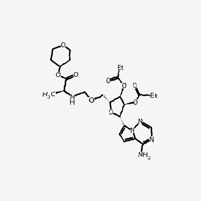 CCC(=O)O[C@@H]1[C@H](OC(=O)CC)[C@@H](COCN[C@@H](C)C(=O)OC2CCOCC2)O[C@H]1c1ccc2c(N)ncnn12